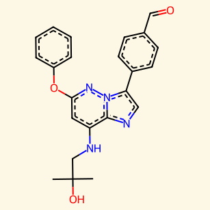 CC(C)(O)CNc1cc(Oc2ccccc2)nn2c(-c3ccc(C=O)cc3)cnc12